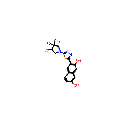 CC[C@@H]1CN(c2nnc(-c3cc4ccc(O)cc4cc3O)s2)C[C@]1(C)CC